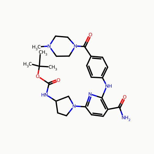 CN1CCN(C(=O)c2ccc(Nc3nc(N4CCC(NC(=O)OC(C)(C)C)C4)ccc3C(N)=O)cc2)CC1